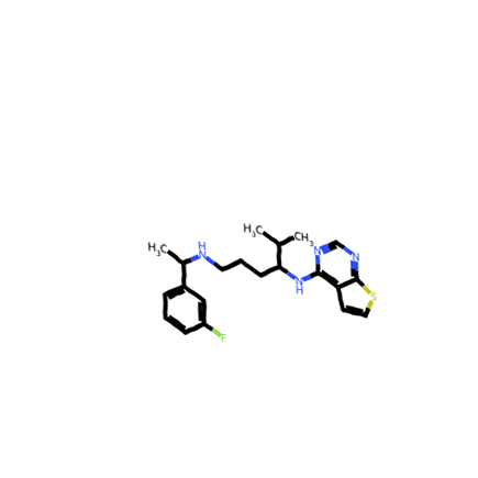 CC(NCCCC(Nc1ncnc2sccc12)C(C)C)c1cccc(F)c1